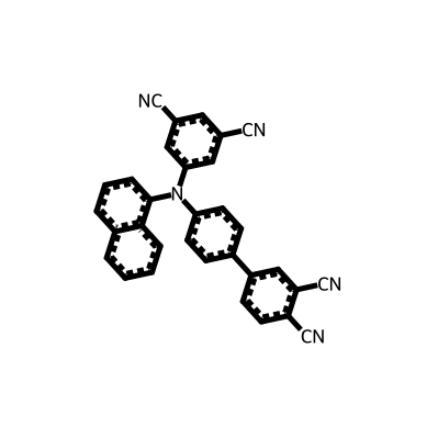 N#Cc1cc(C#N)cc(N(c2ccc(-c3ccc(C#N)c(C#N)c3)cc2)c2cccc3ccccc23)c1